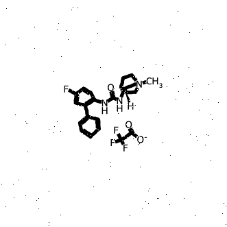 C[N+]12CCC(CC1)[C@@H](NC(=O)Nc1ccc(F)cc1-c1ccccc1)C2.O=C([O-])C(F)(F)F